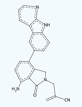 C=C(C#N)CN1Cc2c(-c3ccc4[nH]c5ncccc5c4c3)ccc(N)c2C1=O